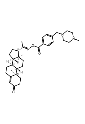 CC(=NOC(=O)c1ccc(CN2CCN(C)CC2)cc1)[C@H]1CC[C@H]2[C@@H]3CCC4=CC(=O)CC[C@]4(C)[C@H]3CC[C@]12C